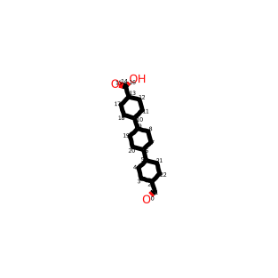 O=CC1CCC(C2CCC(C3CCC(C(=O)O)CC3)CC2)CC1